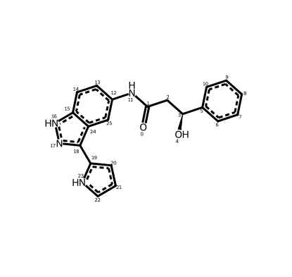 O=C(C[C@H](O)c1ccccc1)Nc1ccc2[nH]nc(-c3ccc[nH]3)c2c1